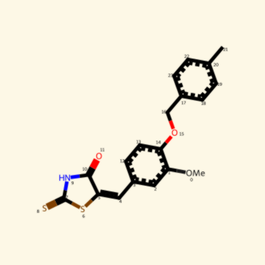 COc1cc(C=C2SC(=S)NC2=O)ccc1OCc1ccc(C)cc1